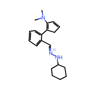 CN(C)C1=C(c2ccccc2/C=N/NC2CCCCC2)CC=C1